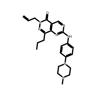 C=CCn1nc(CCC)c2nc(Nc3ccc(N4CCN(C)CC4)cc3)ncc2c1=O